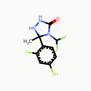 CC1(c2ccc(S)cc2F)NNC(=O)N1C(F)F